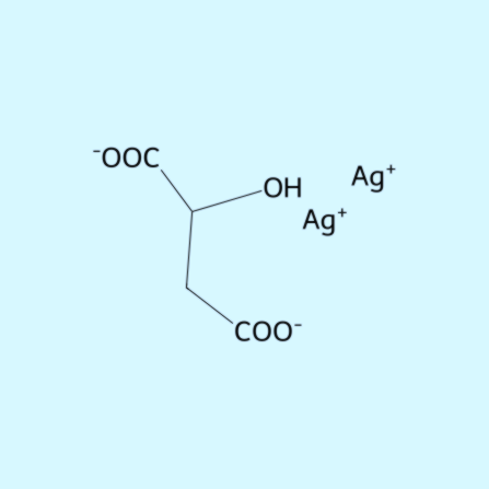 O=C([O-])CC(O)C(=O)[O-].[Ag+].[Ag+]